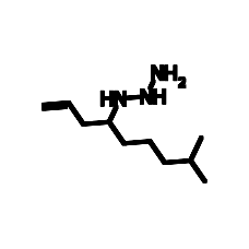 C=CCC(CCCC(C)C)NNN